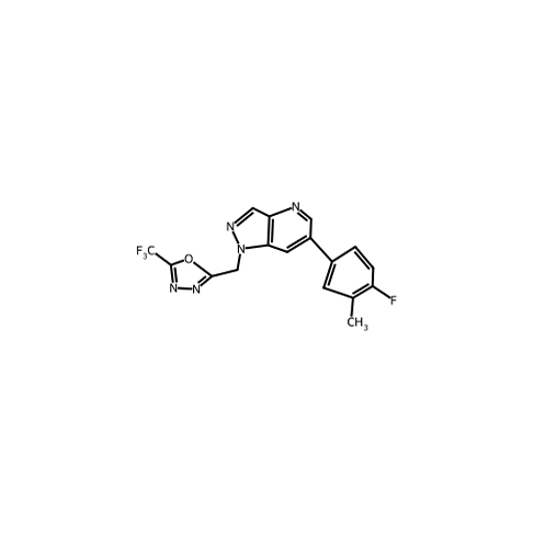 Cc1cc(-c2cnc3cnn(Cc4nnc(C(F)(F)F)o4)c3c2)ccc1F